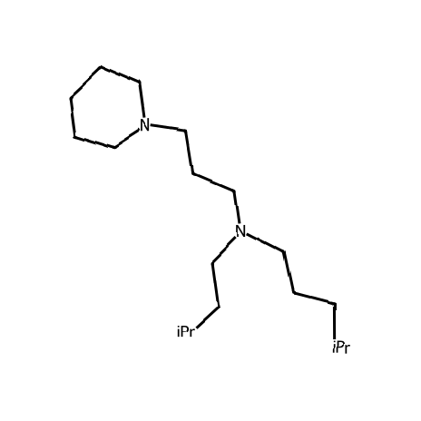 CC(C)CCCN(CCCN1CCCCC1)CCC(C)C